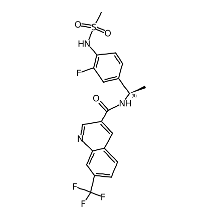 C[C@@H](NC(=O)c1cnc2cc(C(F)(F)F)ccc2c1)c1ccc(NS(C)(=O)=O)c(F)c1